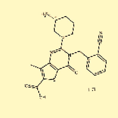 Cc1c(C(=O)O)sc2c(=O)n(Cc3ccccc3C#N)c(N3CCC[C@@H](N)C3)nc12.Cl